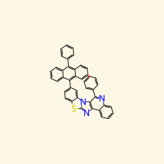 c1ccc(-c2c3ccccc3c(-c3ccc4sc5nc6c7ccccc7nc(-c7ccccc7)c6n5c4c3)c3ccccc23)cc1